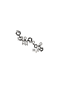 Cn1cccc1C(=O)N1CCC(COc2cccc(NC(=O)Nc3csc(-c4ccncc4)n3)n2)C1